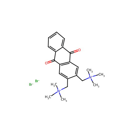 C[N+](C)(C)Cc1cc2c(cc1C[N+](C)(C)C)C(=O)c1ccccc1C2=O.[Br-].[Br-]